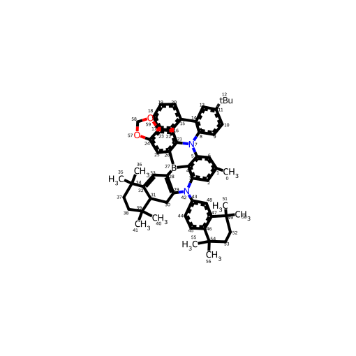 Cc1cc2c3c(c1)N(c1ccc(C(C)(C)C)cc1-c1ccccc1)c1cc4c(cc1B3C1=C(CC3C(=C1)C(C)(C)CCC3(C)C)N2c1ccc2c(c1)C(C)(C)CCC2(C)C)OCO4